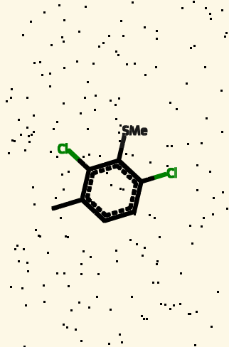 CSc1c(Cl)ccc(C)c1Cl